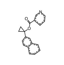 O=C(OC1(c2ccc3ccccc3c2)CC1)c1cccnc1